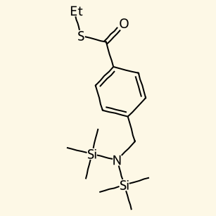 CCSC(=O)c1ccc(CN([Si](C)(C)C)[Si](C)(C)C)cc1